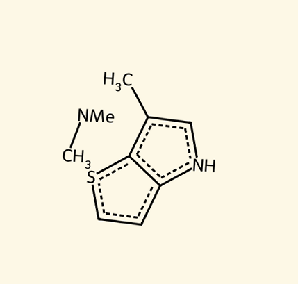 CNC.Cc1c[nH]c2ccsc12